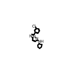 Clc1cccc(-c2cnc3ccc(NC4CCCCC4)nn23)c1